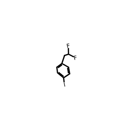 FC(F)Cc1ccc(I)cc1